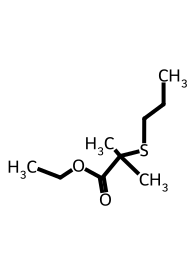 CCCSC(C)(C)C(=O)OCC